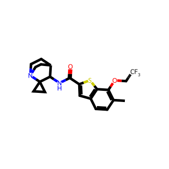 Cc1ccc2cc(C(=O)NC3C4CCN(CC4)C34CC4)sc2c1OCC(F)(F)F